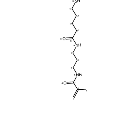 C=C(C)C(=O)NCCCNC(=O)CCCCS